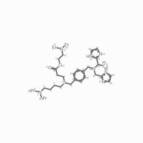 CCCN(CCC)CCCCN(CCC(=O)OCCN(CC)CC)Cc1ccc(CN(Cc2ncc[nH]2)C(C)c2ncc[nH]2)cc1